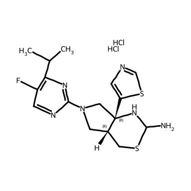 CC(C)c1nc(N2C[C@H]3CSC(N)N[C@@]3(c3cncs3)C2)ncc1F.Cl.Cl